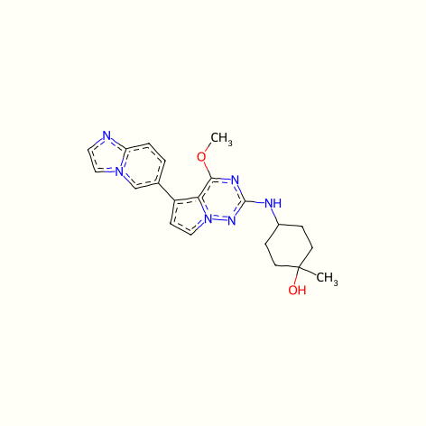 COc1nc(NC2CCC(C)(O)CC2)nn2ccc(-c3ccc4nccn4c3)c12